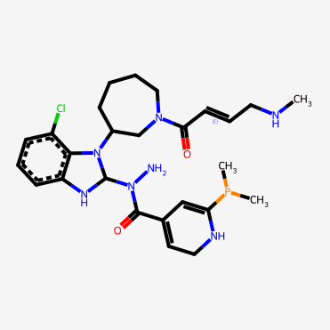 CNC/C=C/C(=O)N1CCCCC(N2c3c(Cl)cccc3NC2N(N)C(=O)C2=CCNC(P(C)C)=C2)C1